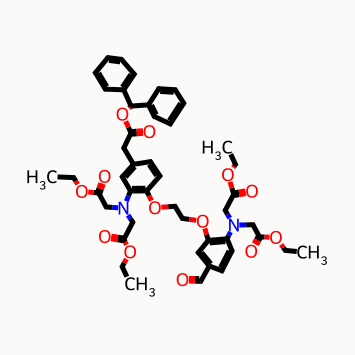 CCOC(=O)CN(CC(=O)OCC)c1ccc(C=O)cc1OCCOc1ccc(CC(=O)OC(c2ccccc2)c2ccccc2)cc1N(CC(=O)OCC)CC(=O)OCC